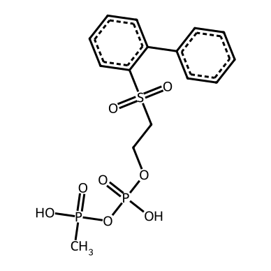 CP(=O)(O)OP(=O)(O)OCCS(=O)(=O)c1ccccc1-c1ccccc1